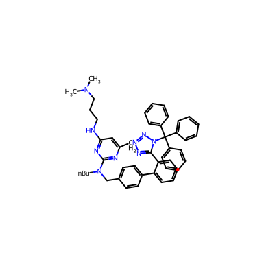 CCCCN(Cc1ccc(-c2ccccc2-c2nnnn2C(c2ccccc2)(c2ccccc2)c2ccccc2)cc1)c1nc(C)cc(NCCCN(C)C)n1